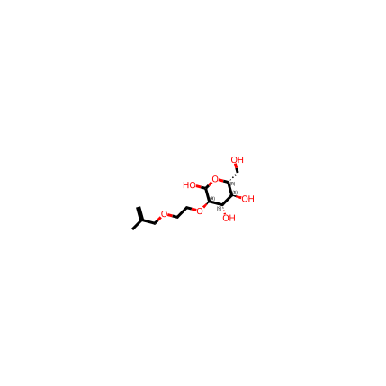 C=C(C)COCCO[C@H]1C(O)O[C@H](CO)[C@@H](O)[C@@H]1O